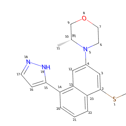 CSc1cc(N2CCOC[C@H]2C)cc2c(-c3ccn[nH]3)cccc12